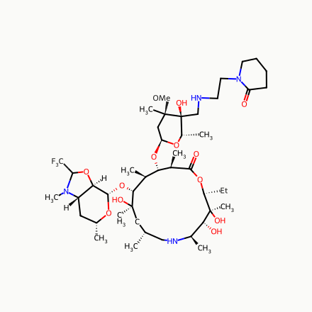 CC[C@H]1OC(=O)[C@H](C)[C@@H](O[C@H]2C[C@@](C)(OC)[C@](O)(CNCCN3CCCCC3=O)[C@H](C)O2)[C@H](C)[C@@H](O[C@@H]2O[C@H](C)C[C@H]3[C@H]2OC(C(F)(F)F)N3C)[C@](C)(O)C[C@@H](C)CN[C@H](C)[C@@H](O)[C@]1(C)O